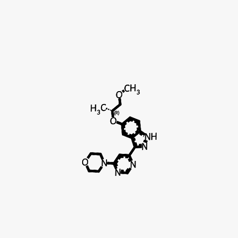 COC[C@@H](C)Oc1ccc2[nH]nc(-c3cc(N4CCOCC4)ncn3)c2c1